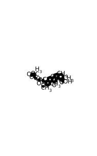 CO[C@H]1CC[C@@]2(C)C(CC[C@]3(C)C2C(=O)C=C2[C@@H]4C[C@@](C)(C(=O)O)CC[C@]4(C)CC[C@]23C)[C@]1(C)C=NC(=O)OCc1oc(=O)oc1C